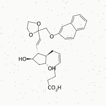 O=C(O)CCC/C=C\C[C@@H]1[C@@H](/C=C/C2(COc3ccc4ccccc4c3)OCCO2)[C@H](O)C[C@H]1O